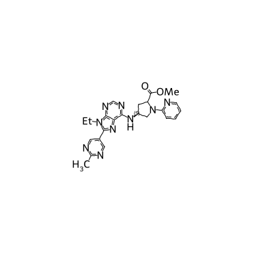 CCn1c(-c2cnc(C)nc2)nc2c(N[C@H]3CC(C(=O)OC)N(c4ccccn4)C3)ncnc21